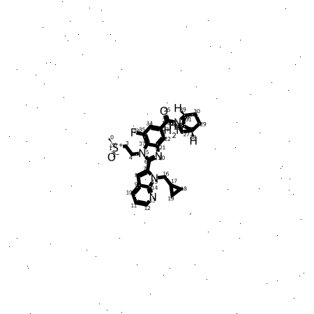 C[S@@+]([O-])CCn1c(-c2cc3cccnc3n2CC2CC2)nc2cc(C(=O)N3C[C@H]4CC[C@@H]3[C@@H]4N)cc(F)c21